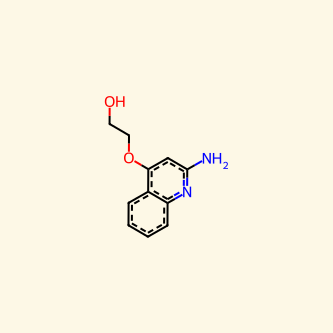 Nc1cc(OCCO)c2ccccc2n1